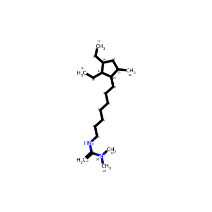 C=C(NCCCCCCCC1C(C)CC(CC)C1CC)N(C)C